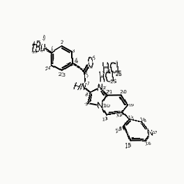 CC(C)(C)c1ccc(C(=O)Nc2cn3cc(-c4cccnc4)ccc3n2)cc1.Cl.Cl